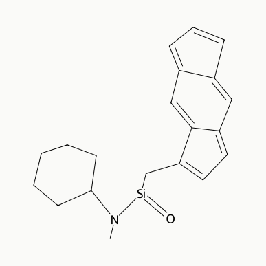 CN(C1CCCCC1)[Si](=O)CC1=CC=c2cc3c(cc21)=CC=C3